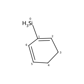 [SiH3]C1=CCCC=C1